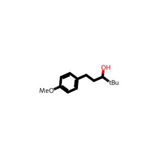 COc1ccc(CCC(O)C(C)(C)C)cc1